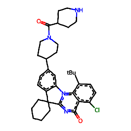 CC(C)(C)c1ccc(Cl)c2c(=O)nc3n(c12)-c1cc(C2CCN(C(=O)C4CCNCC4)CC2)ccc1C31CCCCC1